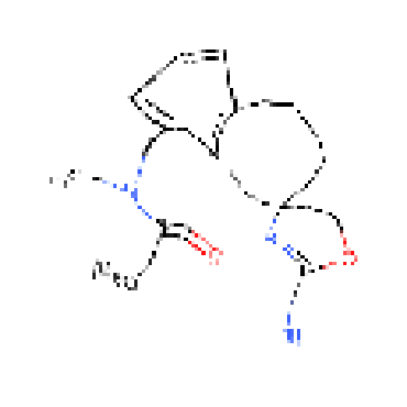 COC(=O)N(C)c1cccc2c1CC1(CC2)COC(N)=N1